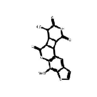 COc1c2c(cc3ccoc13)C1C3C(=O)NC(=O)C(C)C3C1C(=O)O2